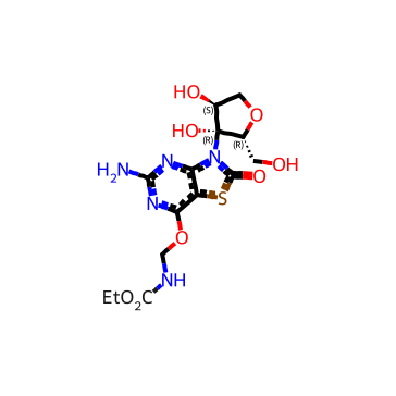 CCOC(=O)NCOc1nc(N)nc2c1sc(=O)n2[C@@]1(O)[C@@H](O)CO[C@@H]1CO